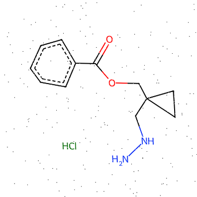 Cl.NNCC1(COC(=O)c2ccccc2)CC1